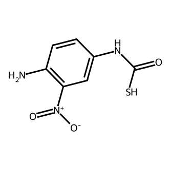 Nc1ccc(NC(=O)S)cc1[N+](=O)[O-]